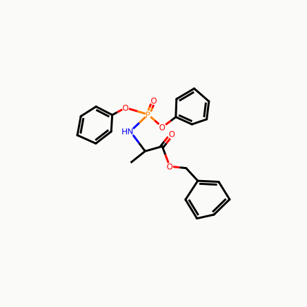 CC(NP(=O)(Oc1ccccc1)Oc1ccccc1)C(=O)OCc1ccccc1